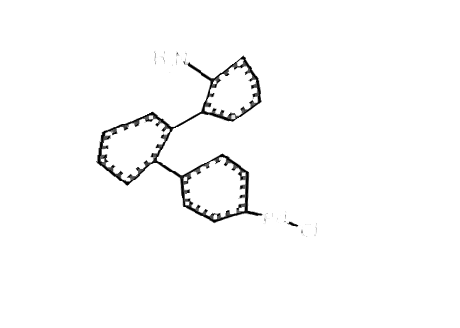 Nc1ccccc1-c1ccccc1-c1cc[c]([Pd][Cl])cc1